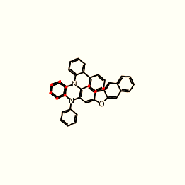 c1ccc(-c2ccccc2N(c2ccccc2)c2cc3c(cc2N(c2ccccc2)c2ccccc2)oc2cc4ccccc4cc23)cc1